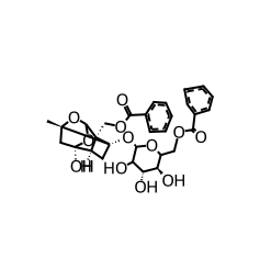 C[C@@]12C[C@@]3(O)OC(O1)[C@]1(COC(=O)c4ccccc4)[C@H]3C[C@@]21O[C@@H]1OC(COC(=O)c2ccccc2)[C@@H](O)[C@H](O)C1O